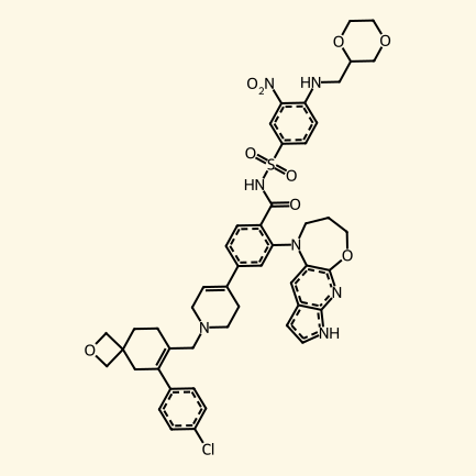 O=C(NS(=O)(=O)c1ccc(NCC2COCCO2)c([N+](=O)[O-])c1)c1ccc(C2=CCN(CC3=C(c4ccc(Cl)cc4)CC4(CC3)COC4)CC2)cc1N1CCCOc2nc3[nH]ccc3cc21